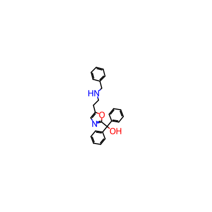 OC(c1ccccc1)(c1ccccc1)c1ncc(CCNCc2ccccc2)o1